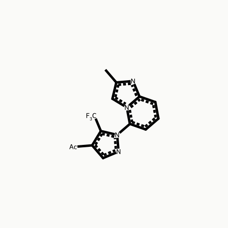 CC(=O)c1cnn(-c2cccc3nc(C)cn23)c1C(F)(F)F